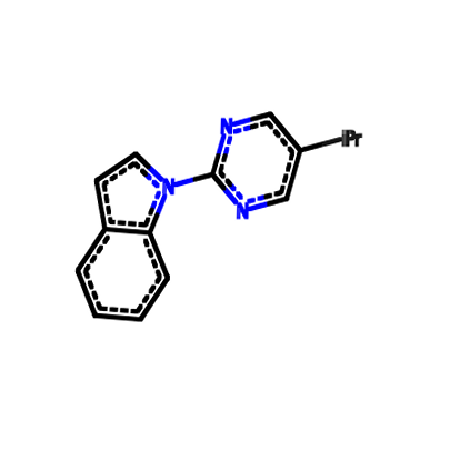 CC(C)c1cnc(-n2ccc3ccccc32)nc1